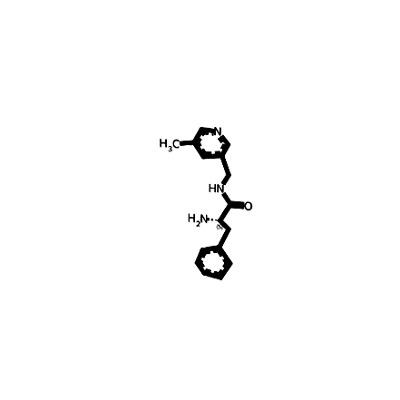 Cc1cncc(CNC(=O)[C@@H](N)Cc2ccccc2)c1